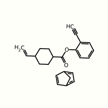 C#Cc1ccccc1OC(=O)C1CCC(C=C)CC1.C1=CC2=CC=C1C2